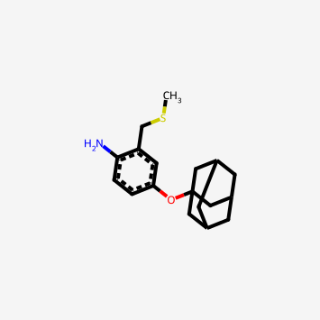 CSCc1cc(OC23CC4CC(CC(C4)C2)C3)ccc1N